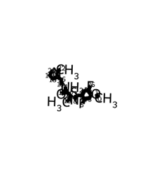 COc1cc(F)c(-c2nc(C)c(C(=O)NCCC3CCCN3C)s2)cc1F